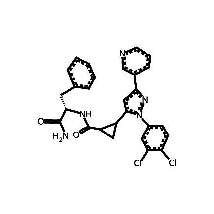 NC(=O)[C@H](Cc1ccccc1)NC(=O)C1CC1c1cc(-c2cccnc2)nn1-c1ccc(Cl)c(Cl)c1